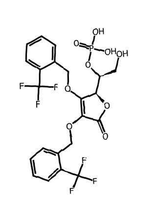 O=C1O[C@H]([C@H](CO)OP(=O)(O)O)C(OCc2ccccc2C(F)(F)F)=C1OCc1ccccc1C(F)(F)F